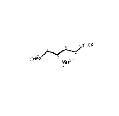 CCCCCCCCCCCCCCCC.[Mn+2]